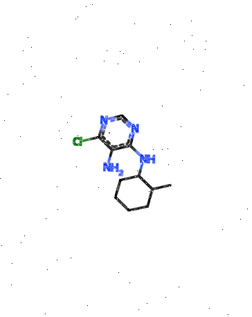 CC1CCCCC1Nc1ncnc(Cl)c1N